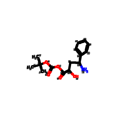 CC(C)(C)OC(=O)OC(=O)C(O)CC(N)c1ccccc1